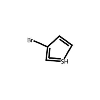 BrC1=C=[SH]C=C1